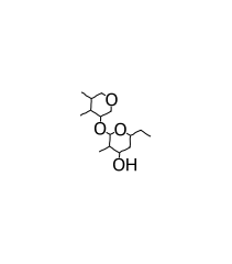 CCC1CC(O)C(C)C(OC2COCC(C)C2C)O1